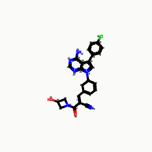 N#C/C(=C\C1=CC=CC(n2cc(-c3ccc(Cl)cc3)c3c(N)ncnc32)C1)C(=O)N1CC(O)C1